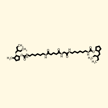 CCC(CC)CC1CCC[C@H]1OC(=O)NCCCCCCNC(=O)CNC(=O)CCCC(=O)NCCCCCCNC(=O)O[C@@H]1CCC(C)[C@@H]1CC(CC)CC